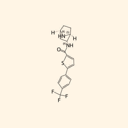 O=C(N[C@@H]1C[C@H]2CC[C@@H]1N2)c1ccc(-c2ccc(C(F)(F)F)cc2)s1